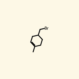 CC1=CCC(CBr)CC1